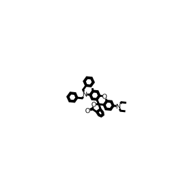 CCN(CC)c1ccc2c(c1)Oc1cc(C)c(N(Cc3ccccc3)Cc3ccccc3)cc1C21OC(=O)c2ccccc21